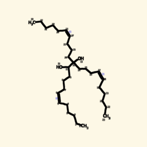 CCCCC/C=C\CCCC(O)C(O)(CCC/C=C\CCCCC)CCC/C=C\CCCCC